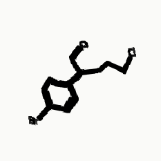 O=CC(CCCCl)c1ccc(Br)cc1